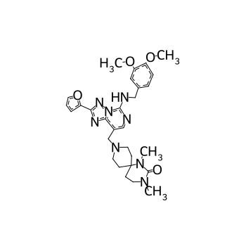 COc1ccc(CNc2ncc(CN3CCC4(CC3)CCN(C)C(=O)N4C)c3nc(-c4ccco4)nn23)cc1OC